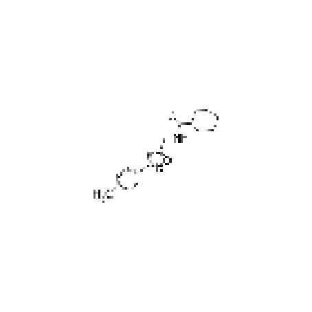 Cc1ccc(-c2cc(CNC(=O)C3CCCCC3)on2)cc1